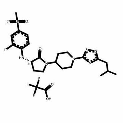 CC(C)Cc1nsc(N2CCC(N3CC[C@H](Nc4ccc(S(C)(=O)=O)cc4F)C3=O)CC2)n1.O=C(O)C(F)(F)F